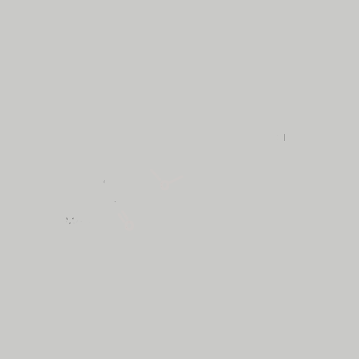 COC(=O)[C@H](C)[C@H](C)Oc1ccc(C(F)(F)F)cc1